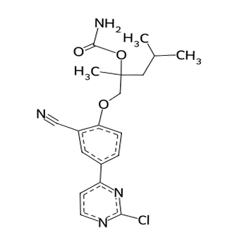 CC(C)CC(C)(COc1ccc(-c2ccnc(Cl)n2)cc1C#N)OC(N)=O